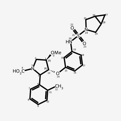 CO[C@@H]1CN(C(=O)O)C(c2ccccc2C)[C@H]1Oc1cccc(NS(=O)(=O)N2CC3CC3C2)c1